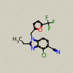 CCc1nc2c(Cl)c(C#N)ccc2n1Cc1ccc(C(F)(F)F)o1